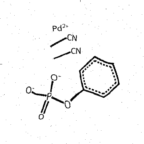 CC#N.CC#N.O=P([O-])([O-])Oc1ccccc1.[Pd+2]